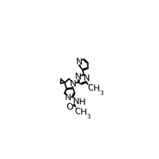 CC(=O)Nc1cc2c(cn1)C1(CC1)CN2c1cc(C)nc(-c2cccnc2)n1